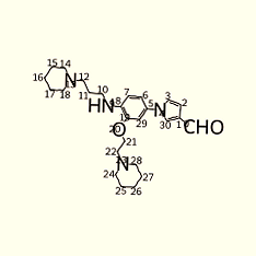 O=Cc1ccn(-c2ccc(NCCCN3CCCCC3)c(OCCN3CCCCC3)c2)c1